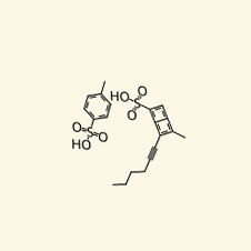 CCCCC#Cc1c(C)c2cc(S(=O)(=O)O)c1-2.Cc1ccc(S(=O)(=O)O)cc1